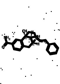 CN1CC[C@]2(C)c3cc(C(N)=O)ccc3C[C@@H]1[C@@H]2NCCc1ccccc1